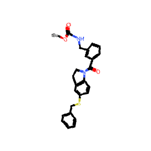 CC(C)(C)OC(=O)NCc1cccc(C(=O)N2CCc3cc(SCc4ccccc4)ccc32)c1